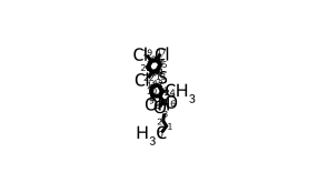 CCCCOC(=O)c1c(O)ccc(Sc2cc(Cl)c(Cl)cc2Cl)c1C